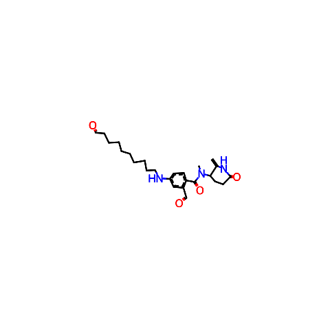 C=C1NC(=O)CCC1N(C)C(=O)c1ccc(NCCCCCCCCCC=O)cc1C=O